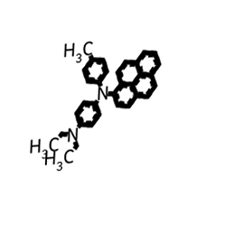 CCN(CC)c1ccc(N(c2ccc(C)cc2)c2ccc3ccc4cccc5ccc2c3c45)cc1